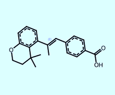 C/C(=C\c1ccc(C(=O)O)cc1)c1cccc2c1C(C)(C)CCO2